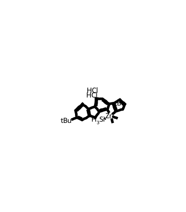 CC(C)(C)c1ccc2c(c1)Cc1c-2ccc(C(C)(C)C)[c]1[Zr]([CH3])([CH3])([SiH3])[C]1=CC=CC1.Cl.Cl